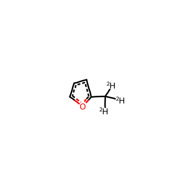 [2H]C([2H])([2H])c1ccco1